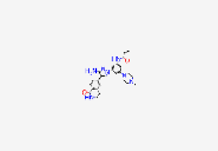 C=CC(=O)Nc1cc(N2CCN(C)CC2)cc(-n2cc(-c3ccc4c(c3)CCNC4=O)c(N)n2)c1